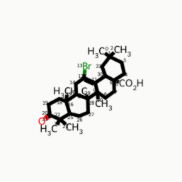 CC1(C)CCC2(C(=O)O)CCC3(C)C(=C(Br)CC4C5(C)CCC(=O)C(C)(C)C5CCC43C)C2C1